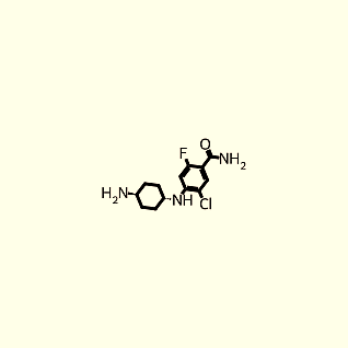 NC(=O)c1cc(Cl)c(N[C@H]2CC[C@H](N)CC2)cc1F